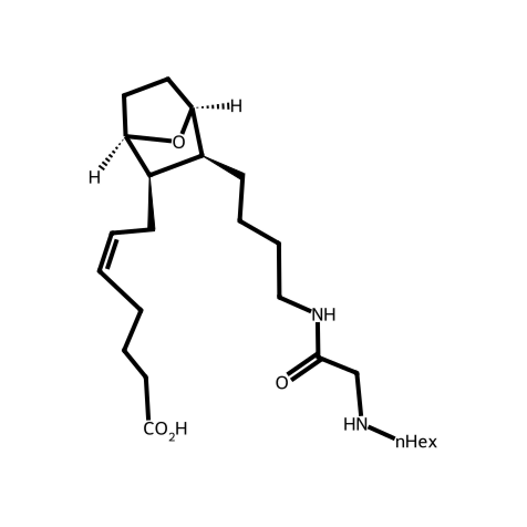 CCCCCCNCC(=O)NCCCC[C@H]1[C@@H](C/C=C\CCCC(=O)O)[C@H]2CC[C@@H]1O2